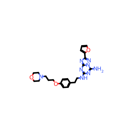 Nc1nc(NCCc2ccc(OCCCN3CCOCC3)cc2)nc2nc(-c3ccco3)nn12